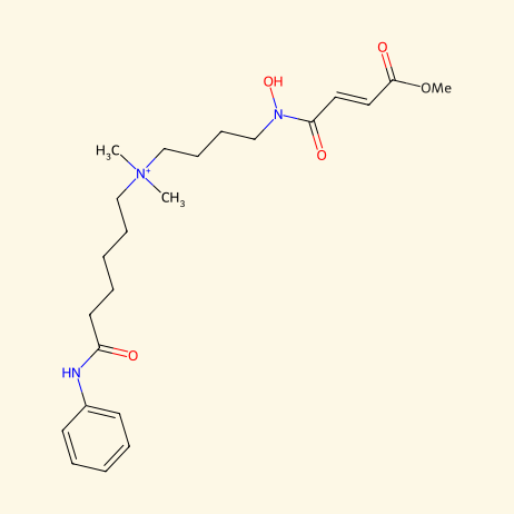 COC(=O)/C=C/C(=O)N(O)CCCC[N+](C)(C)CCCCCC(=O)Nc1ccccc1